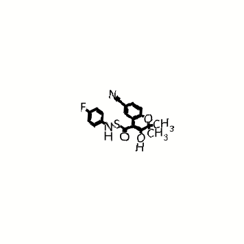 CC1(C)Oc2ccc(C#N)cc2C(C(=O)SNc2ccc(F)cc2)=C1O